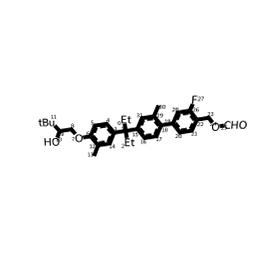 CCC(CC)(c1ccc(OCC(O)C(C)(C)C)c(C)c1)c1ccc(-c2ccc(COC=O)c(F)c2)c(C)c1